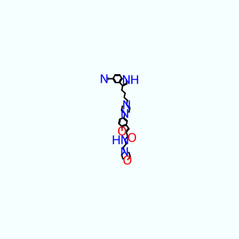 N#Cc1ccc2[nH]cc(CCCCN3CCN(c4ccc5oc(C(=O)NCCN6CCOCC6)cc5c4)CC3)c2c1